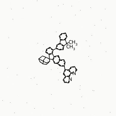 CC1(C)c2ccccc2-c2cc(-c3cccc4c3-c3cc5ccc(-c6cc7cccnc7c7ncccc67)cc5cc3C43C4CC5CC(C4)CC3C5)ccc21